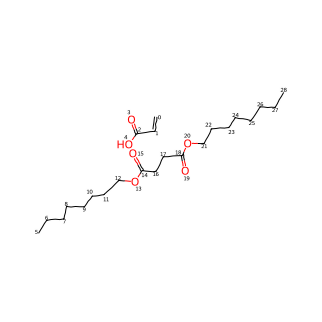 C=CC(=O)O.CCCCCCCCOC(=O)CCC(=O)OCCCCCCCC